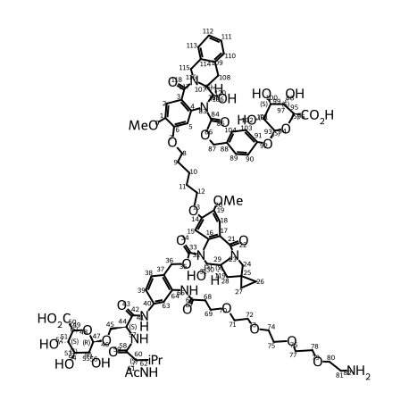 COc1cc2c(cc1OCCCCCOc1cc3c(cc1OC)C(=O)N1CC4(CC4)C[C@H]1[C@H](O)N3C(=O)OCc1ccc(NC(=O)[C@H](CO[C@@H]3O[C@H](C(=O)O)[C@@H](O)[C@H](O)[C@H]3O)NC(=O)[C@@H](NC(C)=O)C(C)C)cc1NC(=O)CCOCCOCCOCCOCCN)N(C(=O)OCc1ccc(O[C@@H]3O[C@H](C(=O)O)[C@@H](O)[C@H](O)[C@H]3O)cc1)[C@@H](O)[C@@H]1Cc3ccccc3CN1C2=O